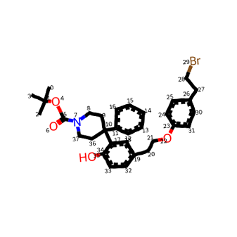 CC(C)(C)OC(=O)N1CCC(c2ccccc2)(c2cc(CCOc3ccc(CCBr)cc3)ccc2O)CC1